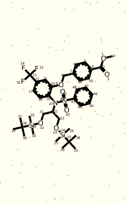 COC(=O)c1ccc(COc2cc(C(F)(F)F)ccc2N(C(CO[Si](C)(C)C(C)(C)C)CO[Si](C)(C)C(C)(C)C)S(=O)(=O)c2ccccc2)cc1